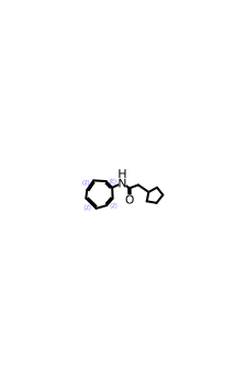 O=C(CC1CCCC1)NC1=C/C=C\C=C/C=C\1